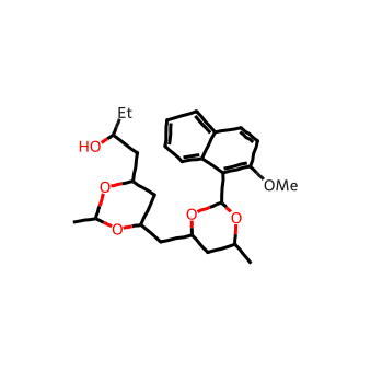 CCC(O)CC1CC(CC2CC(C)OC(c3c(OC)ccc4ccccc34)O2)OC(C)O1